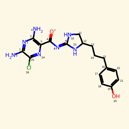 Nc1nc(N)c(C(=O)/N=C2\NCC(CCCc3ccc(O)cc3)N2)nc1Cl